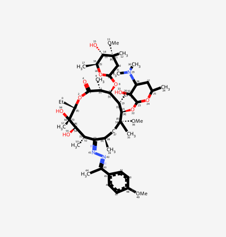 CC[C@H]1OC(=O)[C@H](C)[C@@H](OC2C[C@@](C)(OC)[C@@H](O)[C@H](C)O2)[C@H](C)[C@@H](OC2OC(C)CC(N(C)C)C2O)[C@](C)(OC)C[C@@H](C)/C(=N\N=C(/C)c2ccc(OC)cc2)[C@H](C)[C@@H](O)[C@]1(C)O